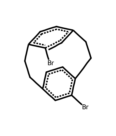 Brc1cc2ccc1CCc1ccc(c(Br)c1)CC2